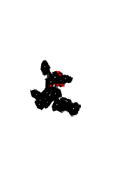 c1ccc(N2c3ccccc3C3(c4ccccc4-c4ccc(N(c5ccc(-c6cccc7c6oc6ccccc67)cc5)c5cccc6c5-c5ccccc5C65c6ccccc6-c6ccccc65)cc43)c3ccccc32)cc1